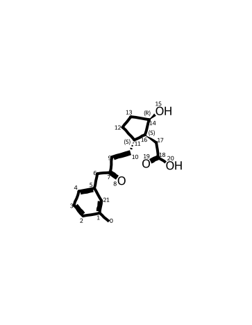 Cc1cccc(CC(=O)C=C[C@@H]2CC[C@@H](O)[C@H]2CC(=O)O)c1